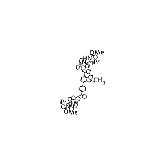 COC(=O)N[C@H](C(=O)N1CCC[C@H]1C(=O)OCC(=O)c1ccc(-c2ccc(C(=O)COC(=O)[C@@H]3CCCN3C(=O)[C@@H](NC(=O)OC)C(C)C)c3oc(C)cc23)cc1)C(C)C